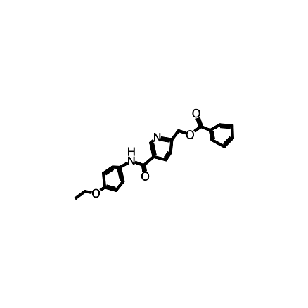 CCOc1ccc(NC(=O)c2ccc(COC(=O)c3ccccc3)nc2)cc1